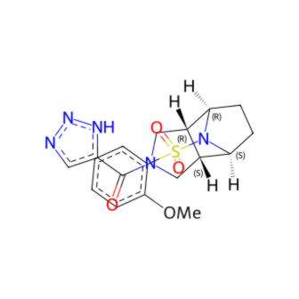 COc1ccccc1S(=O)(=O)N1[C@@H]2CC[C@H]1[C@@H]1CN(C(=O)c3cnn[nH]3)C[C@@H]12